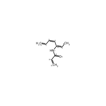 C=C/C=C\C(=C/C)NC(=O)C=C